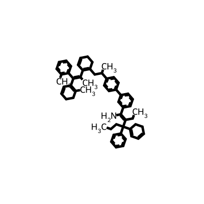 CCCC(C1=CC=CCC1)(/C(CC)=C(\N)c1cccc(-c2ccc(C(C)CC3=C(/C(C)=C(/C4=C(C)CCC=C4)c4ccccc4C)C=CCC3)cc2)c1)c1ccccc1